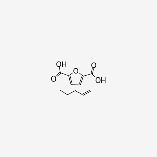 C=CCCC.O=C(O)c1ccc(C(=O)O)o1